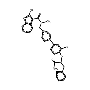 CCCCc1oc2ccccc2c1C(=O)N(C)Cc1ccc(-c2ccc(OC(Cc3ccccc3)C(=O)OC)c(Br)c2)cc1